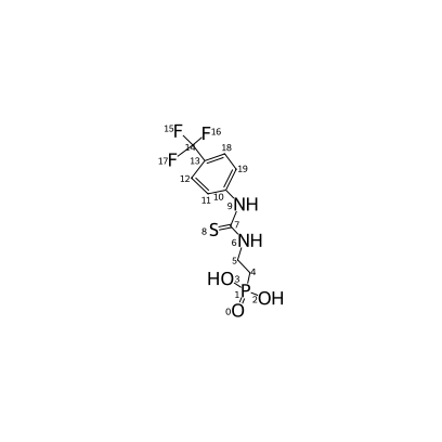 O=P(O)(O)CCNC(=S)Nc1ccc(C(F)(F)F)cc1